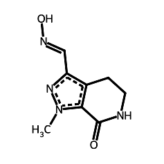 Cn1nc(C=NO)c2c1C(=O)NCC2